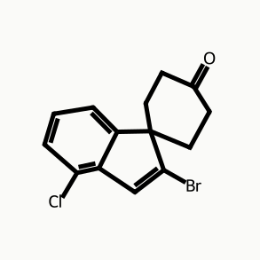 O=C1CCC2(CC1)C(Br)=Cc1c(Cl)cccc12